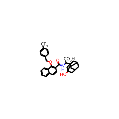 O=C(NC(C(=O)O)C12CC3CC(CC(O)(C3)C1)C2)c1ccc2ccccc2c1OCc1ccc(C(F)(F)F)cc1